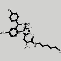 C#[N+]C(c1ccc(Cl)cc1)c1cc(OC)ccc1-n1c(C)nnc1C[C@@H](C)C(=O)NCCCCCN